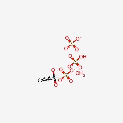 O.O=S(=O)([O-])O.O=S(=O)([O-])[O-].O=S(=O)([O-])[O-].[Ca+2].[Ca+2].[Ca+2].[O]=[Al][O-]